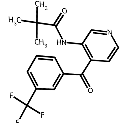 CC(C)(C)C(=O)Nc1cnccc1C(=O)c1cccc(C(F)(F)F)c1